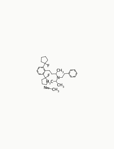 CC#N.CC(C)N(CCc1ccccc1)C(C)CCc1c(C2(F)CCCC2)cccc1C1(F)CCCC1